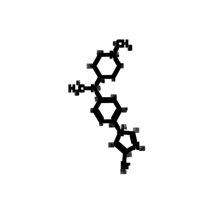 CN1CCC(N(C)c2ccc(-n3cnc(Br)c3)cc2)CC1